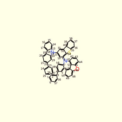 c1ccc(-c2ccc(N(c3cc(-n4c5ccccc5c5ccc(-c6ccccc6)cc54)cc4c3sc3ccccc34)c3cccc4oc5ccccc5c34)cc2)cc1